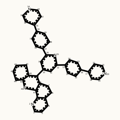 c1cnc2c(c1)ccc1c(-c3cc(-c4ccc(-c5ccncc5)cc4)nc(-c4ccc(-c5ccncc5)cc4)c3)c3ccccc3nc12